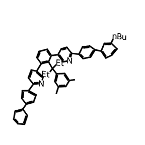 CCCCc1cccc(-c2ccc(-c3ccc(-c4cccc(-c5ccc(-c6ccc(-c7ccccc7)cc6)nc5)c4C(CC)(CC)c4cc(C)cc(C)c4)cn3)cc2)c1